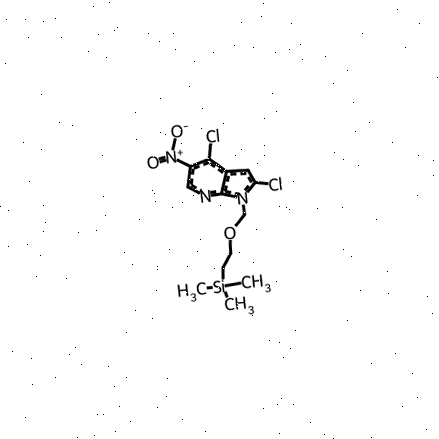 C[Si](C)(C)CCOCn1c(Cl)cc2c(Cl)c([N+](=O)[O-])cnc21